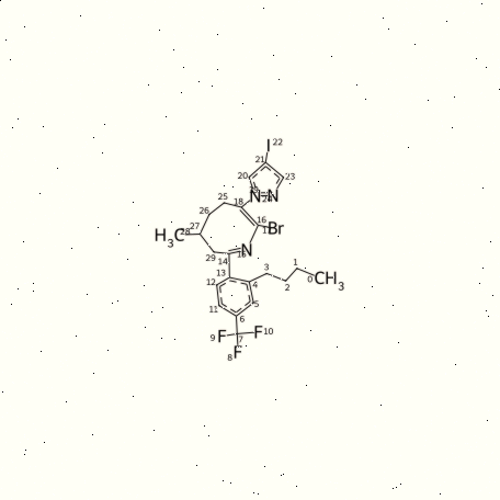 CCCCc1cc(C(F)(F)F)ccc1/C1=N/C(Br)=C(/n2cc(I)cn2)CCC(C)C1